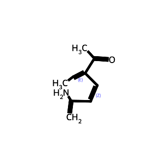 C=C(N)/C=C\C(=C/C)C(C)=O